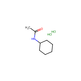 CC(=O)NC1CCCCC1.Cl.Cl